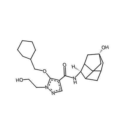 O=C(N[C@H]1C2CC3CC1C[C@](O)(C3)C2)c1cnn(CCO)c1OCC1CCCCC1